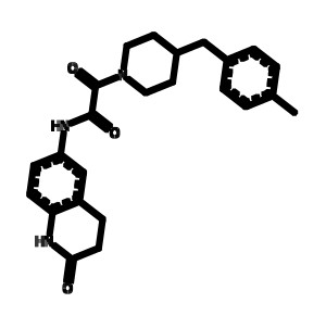 Cc1ccc(CC2CCN(C(=O)C(=O)Nc3ccc4c(c3)CCC(=O)N4)CC2)cc1